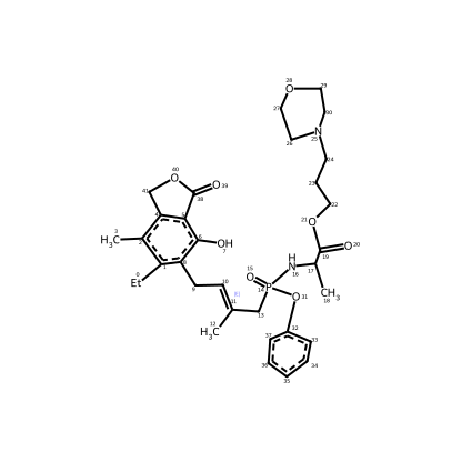 CCc1c(C)c2c(c(O)c1C/C=C(\C)CP(=O)(NC(C)C(=O)OCCCN1CCOCC1)Oc1ccccc1)C(=O)OC2